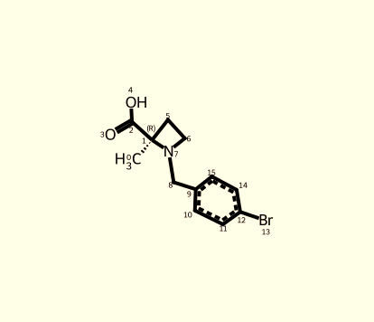 C[C@]1(C(=O)O)CCN1Cc1ccc(Br)cc1